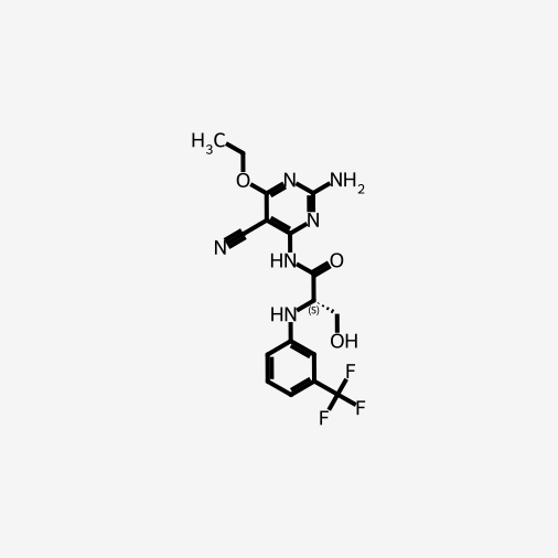 CCOc1nc(N)nc(NC(=O)[C@H](CO)Nc2cccc(C(F)(F)F)c2)c1C#N